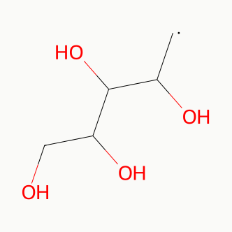 [CH2]C(O)C(O)C(O)CO